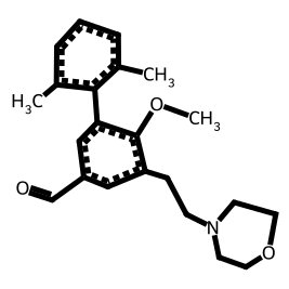 COc1c(CCN2CCOCC2)cc(C=O)cc1-c1c(C)cccc1C